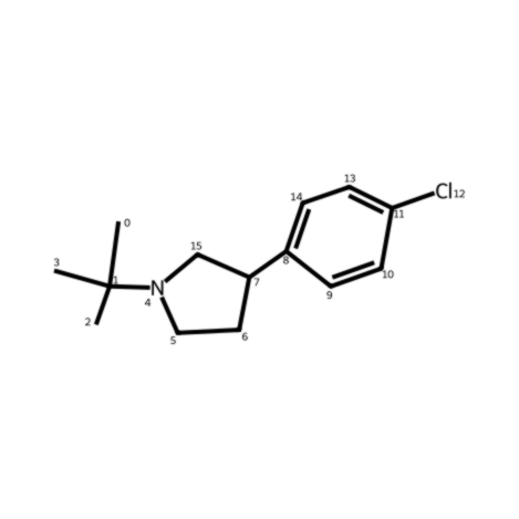 CC(C)(C)N1CCC(c2ccc(Cl)cc2)C1